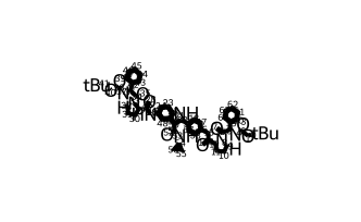 CC(C)(C)OC(=O)N[C@@H](C(=O)N1CCCC1C(=O)Cc1ccc(-c2[nH]c3ccc(NC(=O)[C@@H]4CCCN4C(=O)[C@H](NC(=O)OC(C)(C)C)c4ccccc4)cc3c2C(=O)NC2CC2)cc1)c1ccccc1